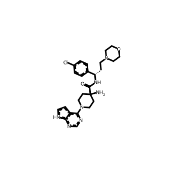 NC1(C(=O)N[C@@H](CCN2CCOCC2)c2ccc(Cl)cc2)CCN(c2ncnc3[nH]ccc23)CC1